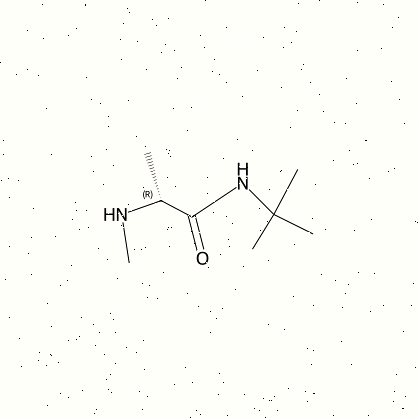 CN[C@H](C)C(=O)NC(C)(C)C